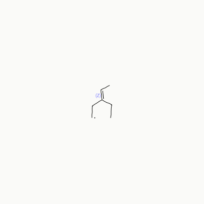 [CH2]C/C(=C/C)CC